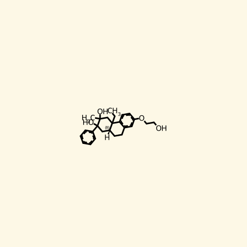 CCC12CC(C)(O)C(O)(c3ccccc3)C[C@H]1CCc1cc(OCCO)ccc12